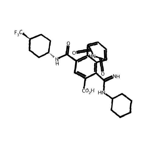 N=C(NC1CCCCC1)c1c(C(=O)O)cc(C(=O)N[C@H]2CC[C@H](C(F)(F)F)CC2)c2c3ccc(c(=O)[nH]c3=O)c12